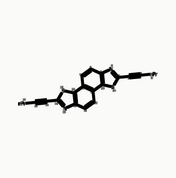 CCCC#Cc1nc2ccc3c(ccc4nc(C#CCCC)sc43)c2s1